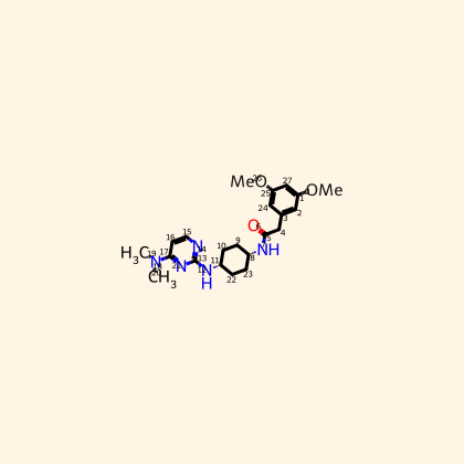 COc1cc(CC(=O)N[C@H]2CC[C@@H](Nc3nccc(N(C)C)n3)CC2)cc(OC)c1